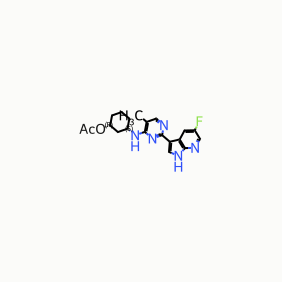 CC(=O)O[C@@H]1CCC[C@H](Nc2nc(-c3c[nH]c4ncc(F)cc34)ncc2C)C1